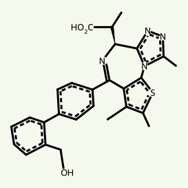 Cc1sc2c(c1C)C(c1ccc(-c3ccccc3CO)cc1)=N[C@@H](C(C)C(=O)O)c1nnc(C)n1-2